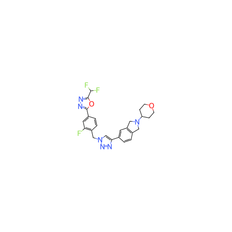 Fc1cc(-c2nnc(C(F)F)o2)ccc1Cn1cc(-c2ccc3c(c2)CN(C2CCOCC2)C3)nn1